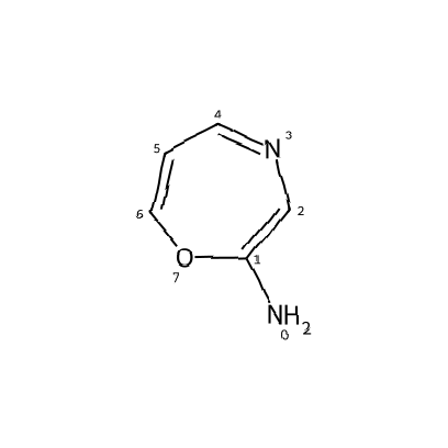 NC1=CN=CC=CO1